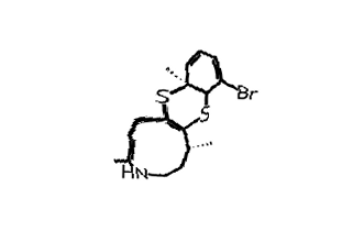 C/C1=C/CC2=C(SC3C(Br)=CC=C[C@]3(C)S2)[C@H](C)CCN1